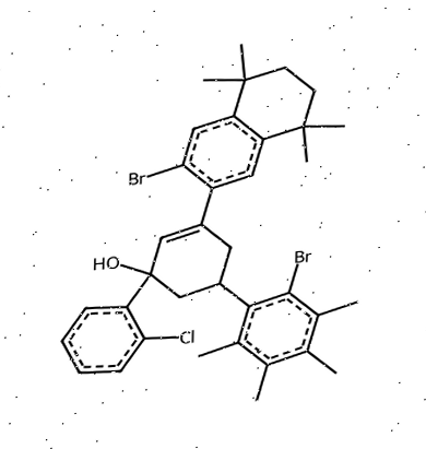 Cc1c(C)c(C)c(C2CC(c3cc4c(cc3Br)C(C)(C)CCC4(C)C)=CC(O)(c3ccccc3Cl)C2)c(Br)c1C